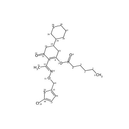 CCCCCC(=O)OC1=C(C(C)=NOCc2ccc(Cl)s2)C(=O)CC(C2CCCSC2)C1